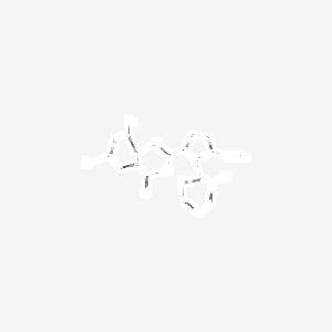 CSc1ccc(-c2nc3c(Br)cc(Br)cc3c(=O)o2)n1-c1ncccc1Cl